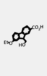 CCOc1ccc2c(c1)C(CO)c1cc(C(=O)O)ccc1-2